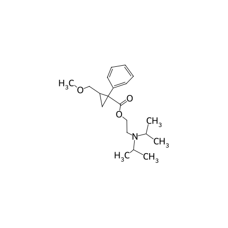 COCC1CC1(C(=O)OCCN(C(C)C)C(C)C)c1ccccc1